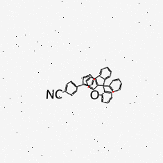 N#Cc1ccc(-c2ccc(-c3ccccc3C3(c4ccccc4)c4ccccc4Oc4ccccc43)cc2)cc1